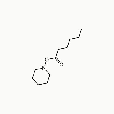 CCCCCC(=O)ON1CCCCC1